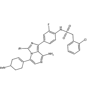 CNC1CC=C(c2cnc(N)c3c(-c4ccc(NS(=O)(=O)Cc5ccccc5Cl)c(F)c4)nc(C(C)C)n23)CC1